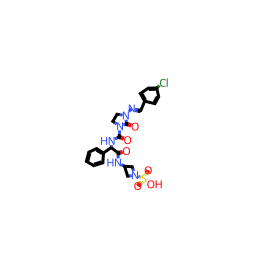 O=C(NC1CN(S(=O)(=O)O)C1)C(NC(=O)N1CCN(N=Cc2ccc(Cl)cc2)C1=O)c1ccccc1